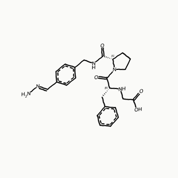 NN=Cc1ccc(CNC(=O)[C@@H]2CCCN2C(=O)[C@@H](Cc2ccccc2)NCC(=O)O)cc1